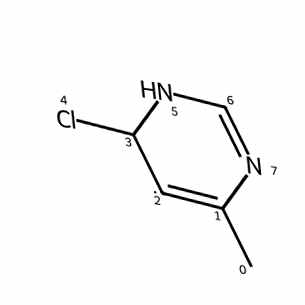 CC1=[C]C(Cl)NC=N1